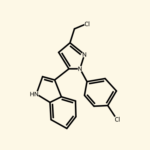 ClCc1cc(-c2c[nH]c3ccccc23)n(-c2ccc(Cl)cc2)n1